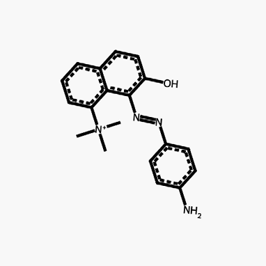 C[N+](C)(C)c1cccc2ccc(O)c(N=Nc3ccc(N)cc3)c12